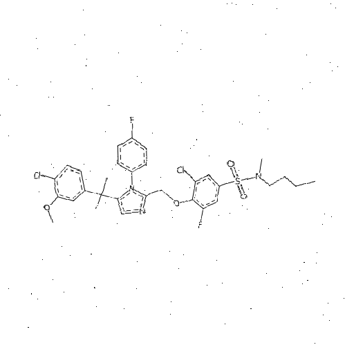 CCCCN(C)S(=O)(=O)c1cc(F)c(OCc2ncc(C(C)(C)c3ccc(Cl)c(OC)c3)n2-c2ccc(F)cc2)c(Cl)c1